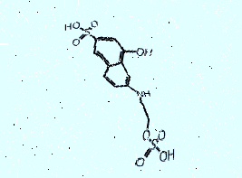 O=S(=O)(O)OCCNc1ccc2cc(S(=O)(=O)O)cc(O)c2c1